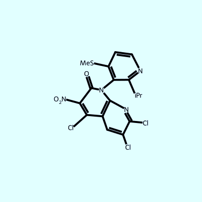 CSc1ccnc(C(C)C)c1-n1c(=O)c([N+](=O)[O-])c(Cl)c2cc(Cl)c(Cl)nc21